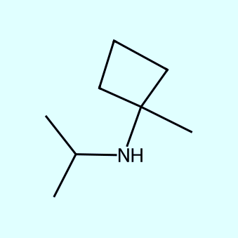 CC(C)NC1(C)CCC1